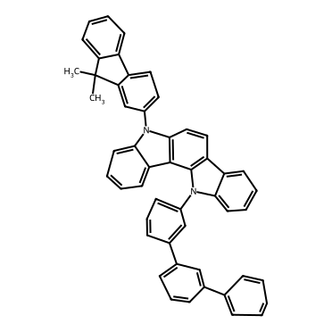 CC1(C)c2ccccc2-c2ccc(-n3c4ccccc4c4c3ccc3c5ccccc5n(-c5cccc(-c6cccc(-c7ccccc7)c6)c5)c34)cc21